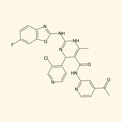 CC(=O)c1ccnc(NC(=O)C2=C(C)NC(Nc3nc4ccc(F)cc4o3)=NC2c2ccncc2Cl)c1